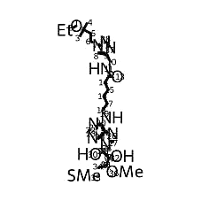 CCOC(C)(C)CCn1cc(CNC(=O)CCCCCNc2ncnc3c2ncn3[C@H](O)[C@H](O)[C@@H](CSC)OC)nn1